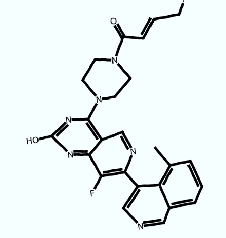 Cc1cccc2cncc(-c3ncc4c(N5CCN(C(=O)/C=C/CF)CC5)nc(O)nc4c3F)c12